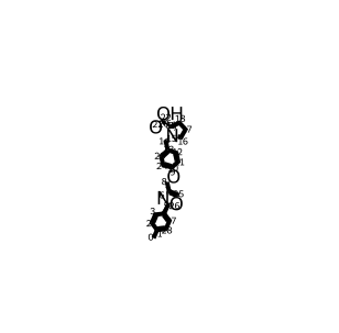 Cc1ccc(-c2nc(COc3ccc(CN4CCC[C@@H]4C(=O)O)cc3)co2)cc1